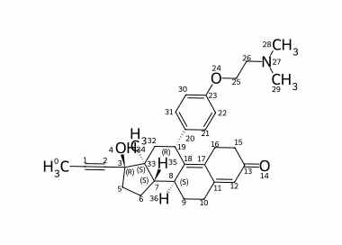 CC#C[C@@]1(O)CC[C@H]2[C@@H]3CCC4=CC(=O)CCC4=C3[C@@H](c3ccc(OCCN(C)C)cc3)C[C@@]21C